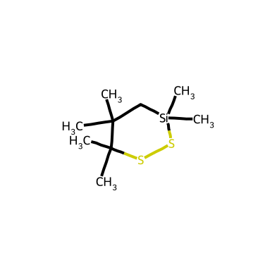 CC1(C)C[Si](C)(C)SSC1(C)C